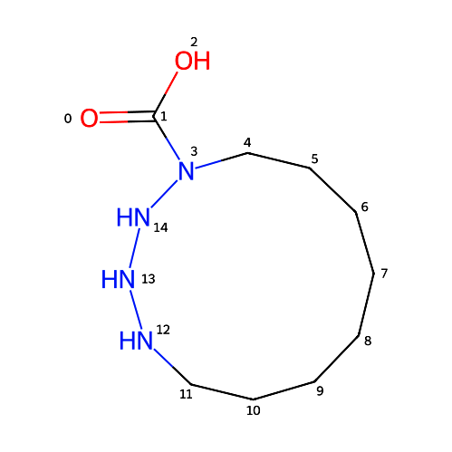 O=C(O)N1CCCCCCCCNNN1